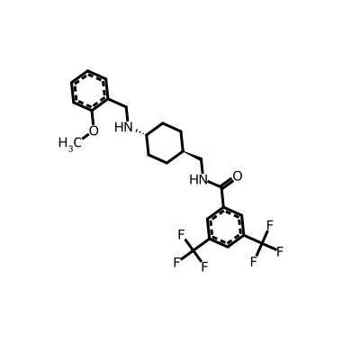 COc1ccccc1CN[C@H]1CC[C@H](CNC(=O)c2cc(C(F)(F)F)cc(C(F)(F)F)c2)CC1